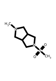 CN1CC2CN(S(C)(=O)=O)CC2C1